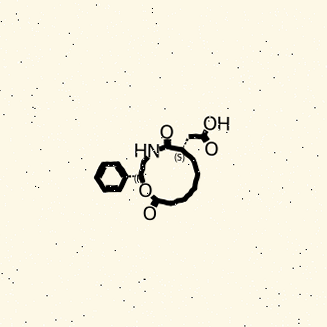 O=C(O)C[C@@H]1CCCCCC(=O)O[C@H](c2ccccc2)CNC1=O